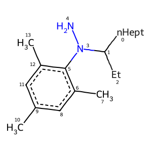 CCCCCCCC(CC)N(N)c1c(C)cc(C)cc1C